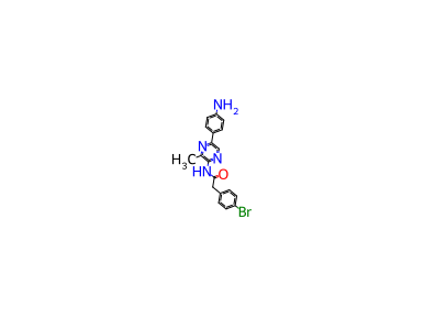 Cc1nc(-c2ccc(N)cc2)cnc1NC(=O)Cc1ccc(Br)cc1